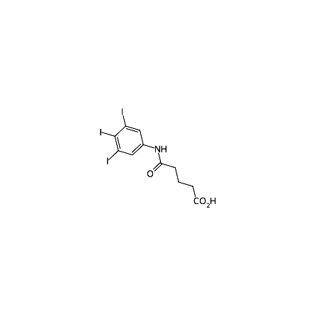 O=C(O)CCCC(=O)Nc1cc(I)c(I)c(I)c1